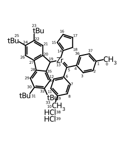 Cc1ccc([C](c2ccc(C)cc2)=[Zr]([C]2=CC=CC2)[CH]2c3cc(C(C)(C)C)c(C(C)(C)C)cc3-c3cc(C(C)(C)C)c(C(C)(C)C)cc32)cc1.Cl.Cl